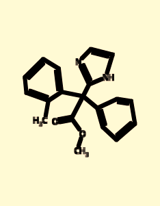 COC(=O)C(c1ccccc1)(c1ncc[nH]1)c1ccccc1C